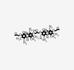 Cc1c(C)c(OCC(O)COc2c(C)c(C)c(Bc3c(C)c(C)c(OCC4CO4)c(C)c3C)c(C)c2C)c(C)c(C)c1Bc1c(C)c(C)c(OCC2CO2)c(C)c1C